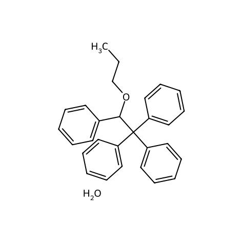 CCCOC(c1ccccc1)C(c1ccccc1)(c1ccccc1)c1ccccc1.O